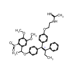 CC/C(=C(/c1ccc(OCCNC(C)=N)cc1)c1ccc(OC(C)c2cc(OC)c(OC)cc2[N+](=O)[O-])cc1)c1ccccc1